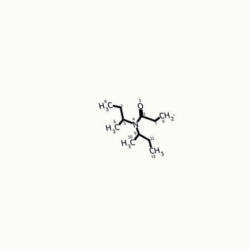 [CH2]CC(=O)N(C(C)CC)C(C)CC